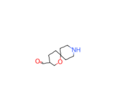 O=CC1CCC2(CCNCC2)OC1